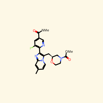 CNC(=O)c1cnc(-c2nc3cc(C)ccn3c2C[C@H]2CN(C(=O)OC)CCO2)c(F)c1